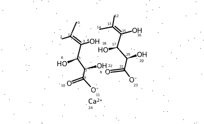 CC(C)=C(O)[C@H](O)[C@@H](O)C(=O)[O-].CC(C)=C(O)[C@H](O)[C@@H](O)C(=O)[O-].[Ca+2]